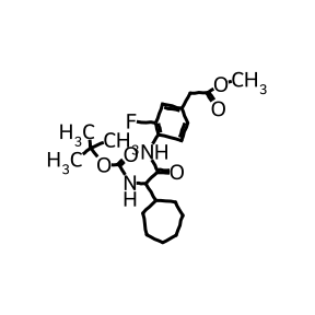 COC(=O)Cc1ccc(NC(=O)C(NC(=O)OC(C)(C)C)C2CCCCCC2)c(F)c1